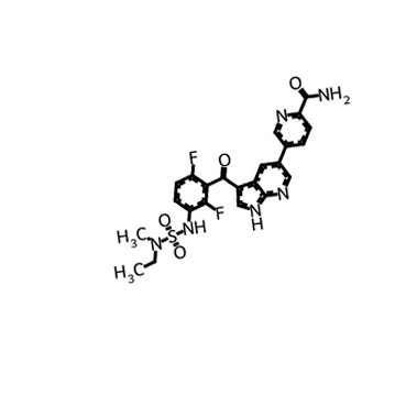 CCN(C)S(=O)(=O)Nc1ccc(F)c(C(=O)c2c[nH]c3ncc(-c4ccc(C(N)=O)nc4)cc23)c1F